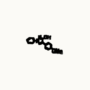 COc1ccc(-c2cn(-c3ccccc3)nc2O)cc1